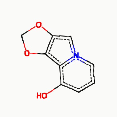 Oc1cccn2cc3c(c12)OCO3